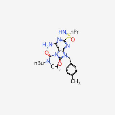 CCCCN(C)C(=O)n1c(=O)n(Cc2ccc(C)cc2)c2nc(S(=N)(=O)CCC)nc(N)c21